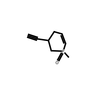 C#CC1CC=CP(C)(=O)C1